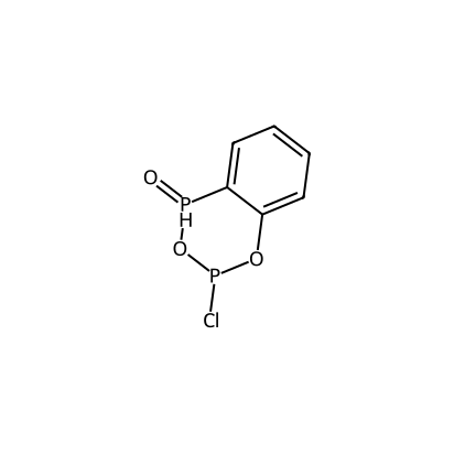 O=[PH]1OP(Cl)Oc2ccccc21